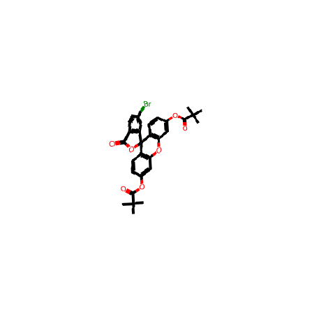 CC(C)(C)C(=O)Oc1ccc2c(c1)Oc1cc(OC(=O)C(C)(C)C)ccc1C21OC(=O)c2ccc(Br)cc21